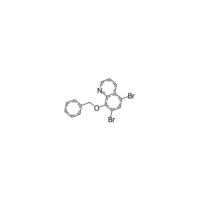 Brc1cc(Br)c2cccnc2c1OCc1ccccc1